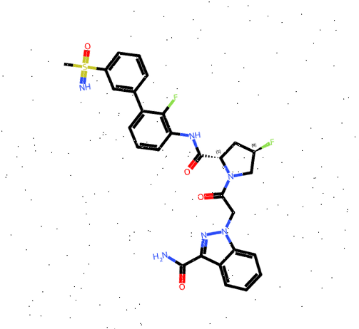 CS(=N)(=O)c1cccc(-c2cccc(NC(=O)[C@@H]3C[C@@H](F)CN3C(=O)Cn3nc(C(N)=O)c4ccccc43)c2F)c1